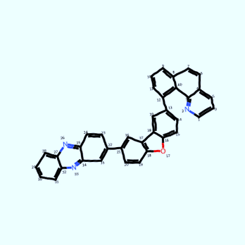 c1cnc2c(c1)ccc1cccc(-c3ccc4oc5ccc(-c6ccc7nc8ccccc8nc7c6)cc5c4c3)c12